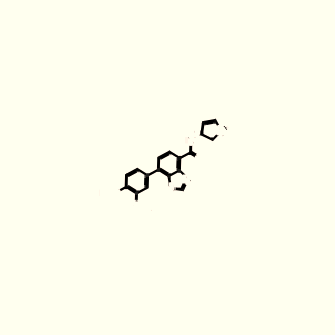 Cc1ccc(-c2ccc(C(=O)N[C@@H]3C=CS(=O)(=O)C3)c3nc[nH]c23)cc1C